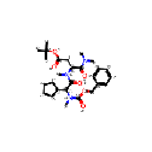 CN(C)C(=O)[C@H](CC(=O)OC(C)(C)C)N(C)C(=O)[C@H](C1CCCC1)N(C)C(=O)OCc1ccccc1